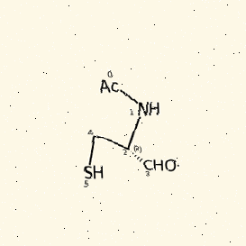 CC(=O)N[C@H]([C]=O)CS